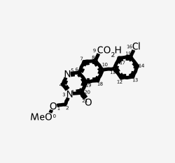 COOCn1cnc2cc(C(=O)O)c(-c3cccc(Cl)c3)cc2c1=O